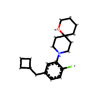 Fc1ccc(CC2CCC2)cc1N1CCC2(CCCCO2)CC1